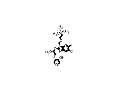 C[C@@H](CO[C@H]1COC[C@H]1O)Oc1nc2cc(Cl)c(I)nc2n1COCC[Si](C)(C)C